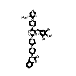 COc1cncnc1N1CCN(C(=O)[C@@H](Cc2cc(Br)c(O)c(Br)c2)NC(=O)N2CCC(N3CCC(N4Cc5ccccc5NC4=O)CC3)CC2)CC1